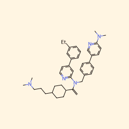 C=C(C1CCC(CCCN(C)C)CC1)N(Cc1ccc(-c2ccc(N(C)C)nc2)cc1)c1cc(-c2cccc(CC)c2)ccn1